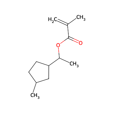 C=C(C)C(=O)OC(C)C1CCC(C)C1